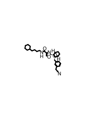 N#CCc1cccc(C[C@@H]2[C@H](c3nc(C(=O)NCCCCC4CCCCC4)co3)[C@H]3CC[C@@H]2O3)c1